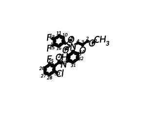 COCC1CN(S(=O)(=O)c2ccc(F)c(F)c2)c2cc(NC(=O)c3c(F)cccc3Cl)ccc2O1